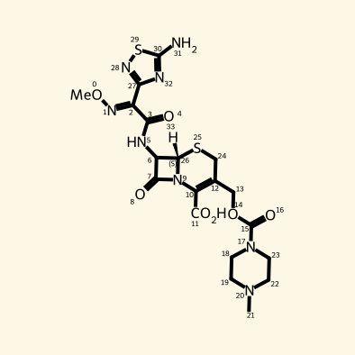 CON=C(C(=O)NC1C(=O)N2C(C(=O)O)=C(COC(=O)N3CCN(C)CC3)CS[C@@H]12)c1nsc(N)n1